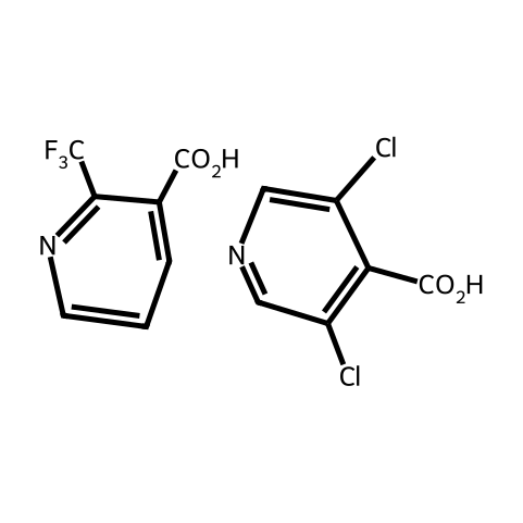 O=C(O)c1c(Cl)cncc1Cl.O=C(O)c1cccnc1C(F)(F)F